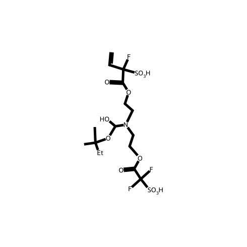 C=CC(F)(C(=O)OCCN(CCOC(=O)C(F)(F)S(=O)(=O)O)C(O)OC(C)(C)CC)S(=O)(=O)O